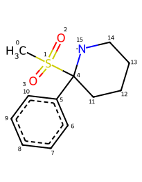 CS(=O)(=O)C1(c2ccccc2)CCCC[N]1